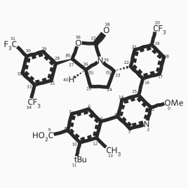 COc1ncc(-c2ccc(C(=O)O)c(C(C)(C)C)c2C)cc1-c1ccc(C(F)(F)F)cc1[C@@H]1CC[C@H]2[C@@H](c3cc(C(F)(F)F)cc(C(F)(F)F)c3)OC(=O)N12